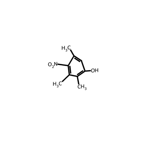 Cc1cc(O)c(C)c(C)c1[N+](=O)[O-]